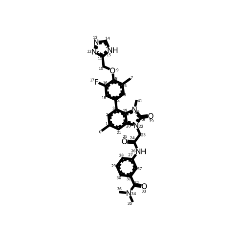 Cc1cc(-c2cc(C)c(OCc3nnc[nH]3)c(F)c2)c2c(c1)n(CC(=O)Nc1cccc(C(=O)N(C)C)c1)c(=O)n2C